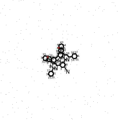 N#Cc1cc(-c2cc(-c3ccccc3)nc(-c3ccccc3)n2)c(-n2c3ccc(-c4ccccc4)cc3c3cc(-c4ccccc4)ccc32)c(-c2nc(-c3ccccc3)cc(-c3ccccc3)n2)c1